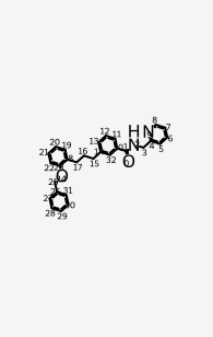 O=C(NCc1ccccn1)c1cccc(CCCc2ccccc2OCc2ccccc2)c1